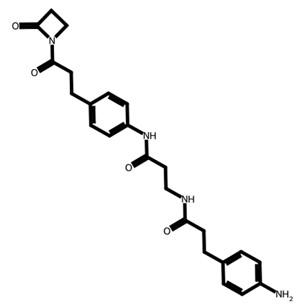 Nc1ccc(CCC(=O)NCCC(=O)Nc2ccc(CCC(=O)N3CCC3=O)cc2)cc1